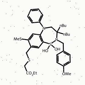 CCCCC1(CCCC)CN(c2ccccc2)c2cc(SC)c(CSCC(=O)OCC)cc2S(O)(O)N1Cc1ccc(OC)cc1